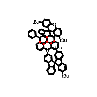 CC(C)(C)c1ccc2c(c1)C1(c3cc(C(C)(C)C)ccc3O2)c2ccccc2-c2c(-c3ccccc3N(c3ccc4c(c3)C3(c5ccccc5-4)c4cc(C(C)(C)C)ccc4-c4ccc(C(C)(C)C)cc43)c3ccccc3-c3ccc(-c4ccccc4)cc3)cccc21